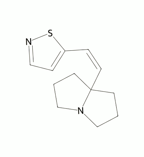 C(=C/C12CCCN1CCC2)/c1ccns1